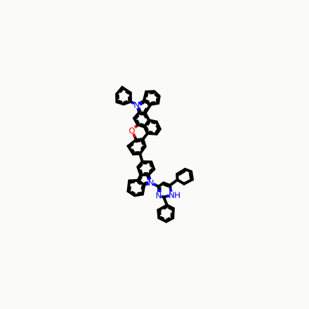 C1=CCC(C2=CC(n3c4ccccc4c4cc(-c5ccc6c(c5)-c5cccc7c5c(cc5c7c7ccccc7n5-c5ccccc5)O6)ccc43)=NC(c3ccccc3)N2)C=C1